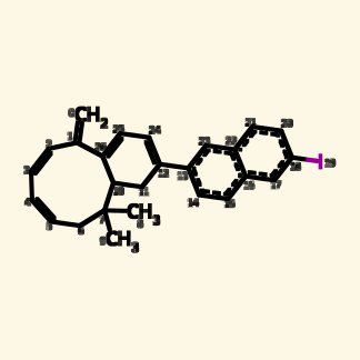 C=C1/C=C\C=C/CC(C)(C)C2CC(c3ccc4cc(I)ccc4c3)=CC=C12